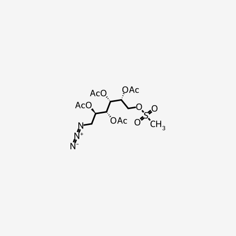 CC(=O)O[C@@H]([C@H](OC(C)=O)[C@@H](COS(C)(=O)=O)OC(C)=O)[C@@H](CN=[N+]=[N-])OC(C)=O